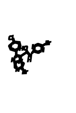 OC(Nc1cnc(Br)cn1)c1c(-c2ccc(Cl)cc2)nc2cnc(Br)cn12